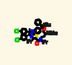 CN[C@@H](CCN(C(=O)C1=C(C(C)C)N2C(=N[C@@](C)(c3ccc(Cl)cc3)[C@H]2c2ccc(Cl)cc2)S1)C(C)C)CO[Si](c1ccccc1)(c1ccccc1)C(C)(C)C